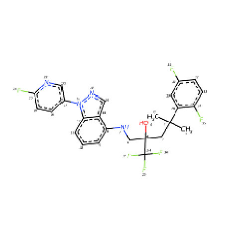 CC(C)(CC(O)(CNc1cccc2c1cnn2-c1ccc(F)nc1)C(F)(F)F)c1cc(F)ccc1F